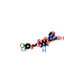 CC1=C(C(=O)OCCCOc2ccc(Cl)c(Cl)c2)C(C)C(C(=O)OC(CNCCO)CN2CCOCC2)=C(C)N1